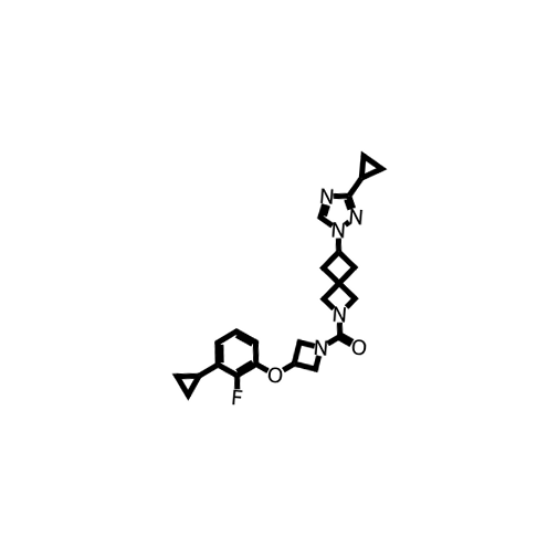 O=C(N1CC(Oc2cccc(C3CC3)c2F)C1)N1CC2(CC(n3cnc(C4CC4)n3)C2)C1